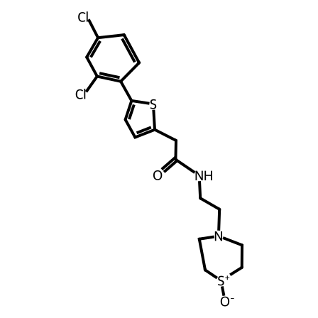 O=C(Cc1ccc(-c2ccc(Cl)cc2Cl)s1)NCCN1CC[S+]([O-])CC1